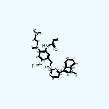 C=CC(=O)Nc1cc(CNc2nccc(-c3cn(C)c4ccccc34)n2)c(OC(F)(F)F)cc1N(C)CCN(C)C